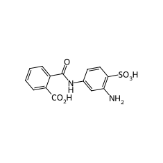 Nc1cc(NC(=O)c2ccccc2C(=O)O)ccc1S(=O)(=O)O